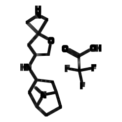 CN1C2CCC1CC(NC1COC3(CNC3)C1)C2.O=C(O)C(F)(F)F